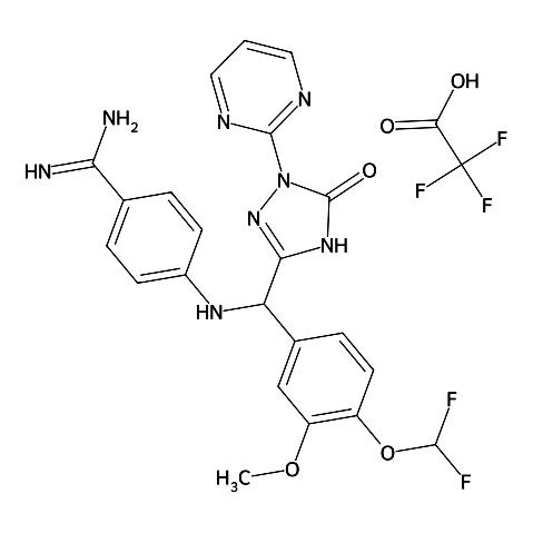 COc1cc(C(Nc2ccc(C(=N)N)cc2)c2nn(-c3ncccn3)c(=O)[nH]2)ccc1OC(F)F.O=C(O)C(F)(F)F